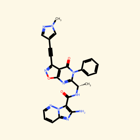 C[C@H](NC(=O)c1c(N)nc2cccnn12)c1nc2onc(C#Cc3cnn(C)c3)c2c(=O)n1-c1ccccc1